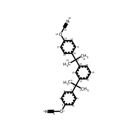 CC(C)(c1ccc(OC#N)cc1)c1cccc(C(C)(C)c2ccc(OC#N)cc2)c1